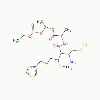 CCOC(=O)OC(C)OC(=O)C(C)NC(=O)C(C(N)CSS)C(CCCc1ccsc1)SC